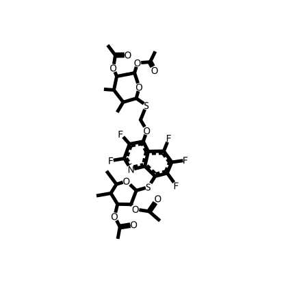 CC(=O)OC1OC(SCOc2c(F)c(F)nc3c(SC4OC(C)C(C)C(OC(C)=O)C4OC(C)=O)c(F)c(F)c(F)c23)C(C)C(C)C1OC(C)=O